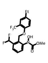 CCc1ccc(OCc2c(C(F)F)cccc2N(O)C(=O)OC)c(C(F)(F)F)c1